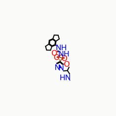 CNCC1COc2c(S(=O)(=O)NC(=O)Nc3c4c(cc5c3CCC5)CCC4)cnn2C1